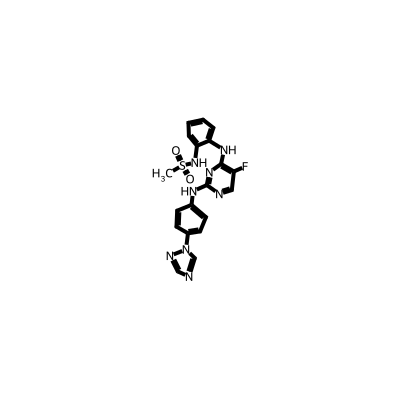 CS(=O)(=O)Nc1ccccc1Nc1nc(Nc2ccc(-n3cncn3)cc2)ncc1F